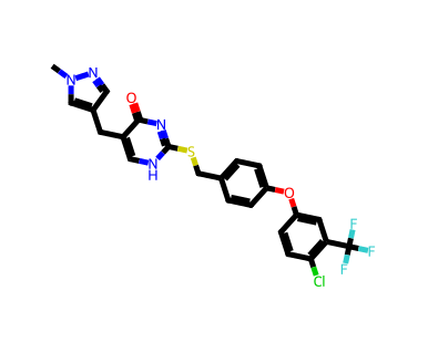 Cn1cc(Cc2c[nH]c(SCc3ccc(Oc4ccc(Cl)c(C(F)(F)F)c4)cc3)nc2=O)cn1